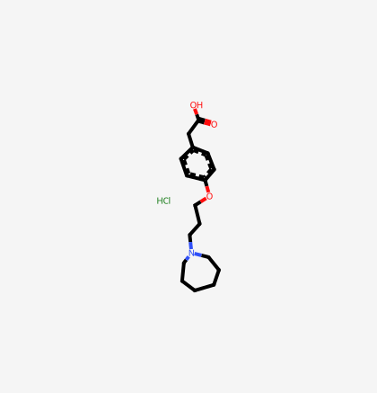 Cl.O=C(O)Cc1ccc(OCCCN2CCCCCC2)cc1